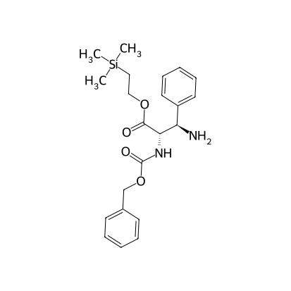 C[Si](C)(C)CCOC(=O)[C@@H](NC(=O)OCc1ccccc1)[C@H](N)c1ccccc1